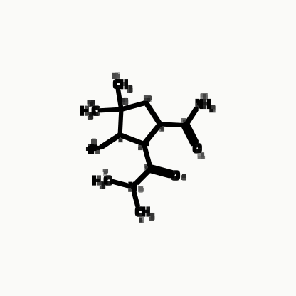 C[C](C)C1[C](C(=O)N(C)C)C(C(N)=O)CC1(C)C